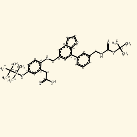 CC(C)(C)OC(=O)NCc1cccc(-c2cc(COc3ccc(O[Si](C)(C)C(C)(C)C)cc3CC(=O)O)cc3ccoc23)c1